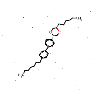 CCCCCCCc1ccc(-c2ccc([C@H]3CO[C@H](CCCCCC)CO3)cc2)cc1